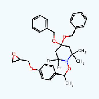 CCC1(CC)CC(OCc2ccccc2)(OCc2ccccc2)CC(C)(C)N1OC(C)c1ccc(OCC2CO2)cc1